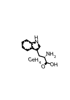 N[C@@H](Cc1c[nH]c2ccccc12)C(=O)O.[GeH4]